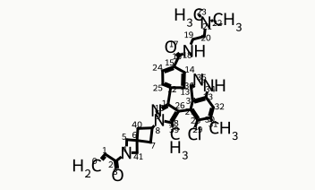 C=CC(=O)N1CC2(CC(n3nc(-c4ccc(C(=O)NCCN(C)C)cc4)c(-c4c(Cl)c(C)cc5[nH]ncc45)c3C)C2)C1